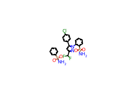 NS(=O)(=O)c1ccccc1.NS(=O)(=O)c1ccccc1-n1nc(C(F)F)cc1-c1ccc(Cl)cc1